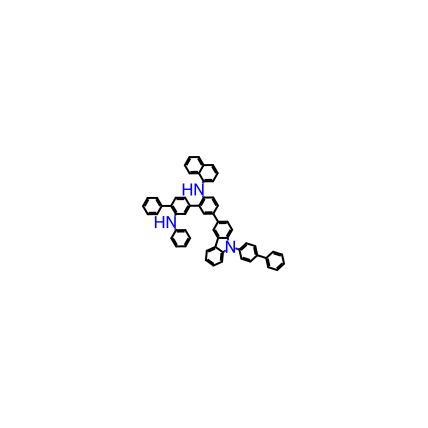 c1ccc(Nc2cc(-c3cc(-c4ccc5c(c4)c4ccccc4n5-c4ccc(-c5ccccc5)cc4)ccc3Nc3cccc4ccccc34)ccc2-c2ccccc2)cc1